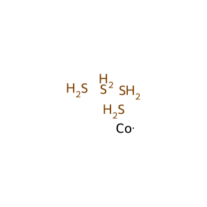 S.S.S.S.[Co]